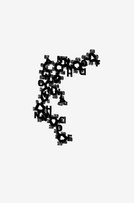 O=C(C(Cn1ccc(-c2ccc3ncnc(Nc4ccc(OCc5cccc(F)c5)c(Cl)c4)c3c2)c1)N1CCN(CC2CC2)CC1)C(Cn1ccc(-c2ccc3ncnc(Nc4ccc(OCc5cccc(F)c5)c(Cl)c4)c3c2)c1)N1CCN(CC2CC2)CC1